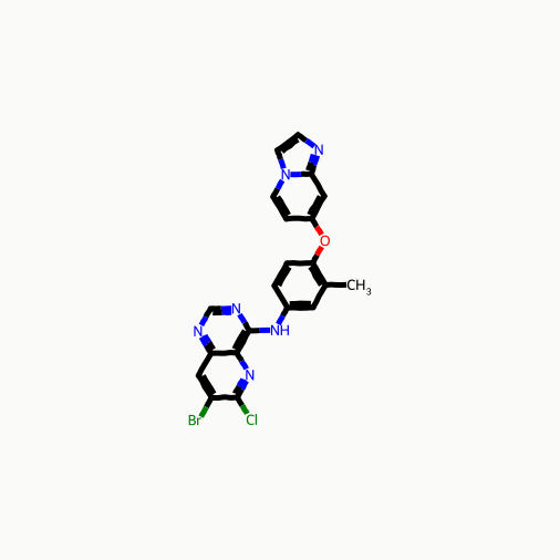 Cc1cc(Nc2ncnc3cc(Br)c(Cl)nc23)ccc1Oc1ccn2ccnc2c1